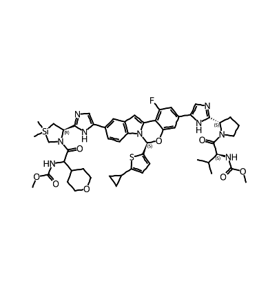 COC(=O)NC(C(=O)N1C[Si](C)(C)C[C@H]1c1ncc(-c2ccc3c(c2)cc2n3[C@H](c3ccc(C4CC4)s3)Oc3cc(-c4cnc([C@@H]5CCCN5C(=O)[C@@H](NC(=O)OC)C(C)C)[nH]4)cc(F)c3-2)[nH]1)C1CCOCC1